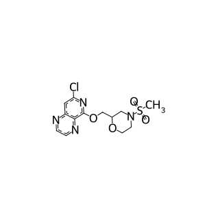 CS(=O)(=O)N1CCOC(COc2nc(Cl)cc3nccnc23)C1